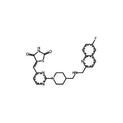 O=C1NC(=O)C(=Cc2ccnc(N3CCC(CNCc4ccc5cc(F)ccc5n4)CC3)n2)S1